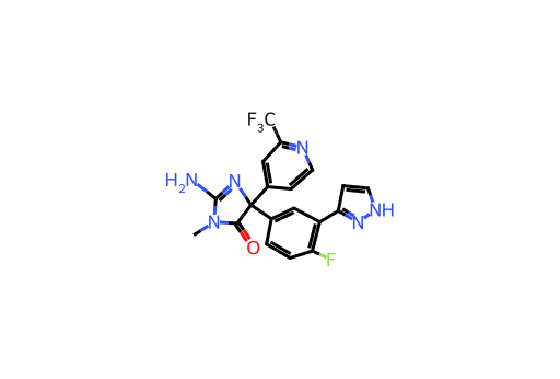 CN1C(=O)C(c2ccnc(C(F)(F)F)c2)(c2ccc(F)c(-c3cc[nH]n3)c2)N=C1N